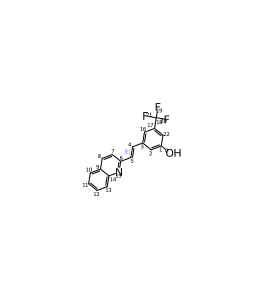 Oc1cc(/C=C/c2ccc3ccccc3n2)cc(C(F)(F)F)c1